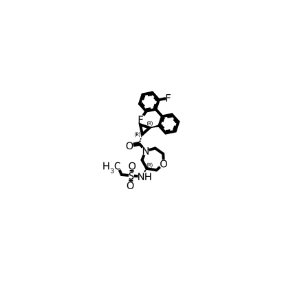 CCS(=O)(=O)N[C@H]1COCCN(C(=O)[C@@H]2C[C@H]2c2ccccc2-c2c(F)cccc2F)C1